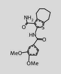 COc1ccc(C(=O)Nc2sc3c(c2C(N)=O)CCCCC3)cc1OC